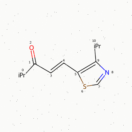 CC(C)C(=O)/C=C/c1scnc1C(C)C